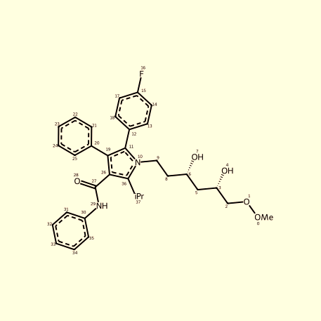 COOC[C@@H](O)C[C@@H](O)CCn1c(-c2ccc(F)cc2)c(-c2ccccc2)c(C(=O)Nc2ccccc2)c1C(C)C